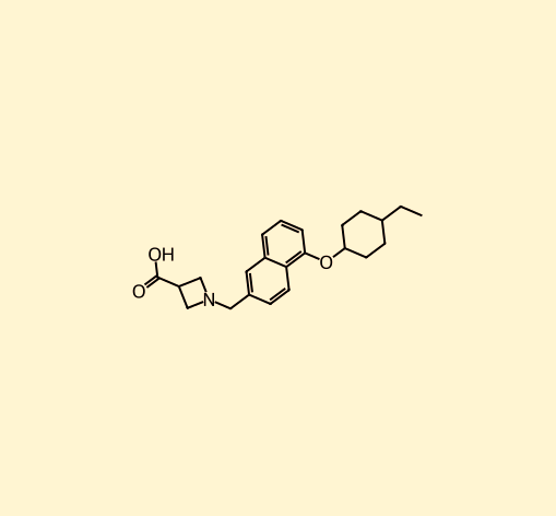 CCC1CCC(Oc2cccc3cc(CN4CC(C(=O)O)C4)ccc23)CC1